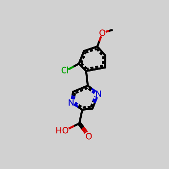 COc1ccc(-c2cnc(C(=O)O)cn2)c(Cl)c1